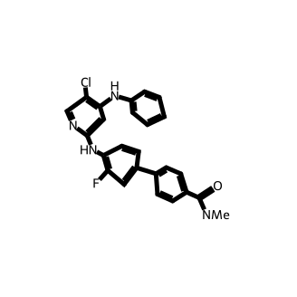 CNC(=O)c1ccc(-c2ccc(Nc3cc(Nc4ccccc4)c(Cl)cn3)c(F)c2)cc1